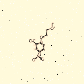 COCCOc1ccc([N+](=O)[O-])cc1Cl